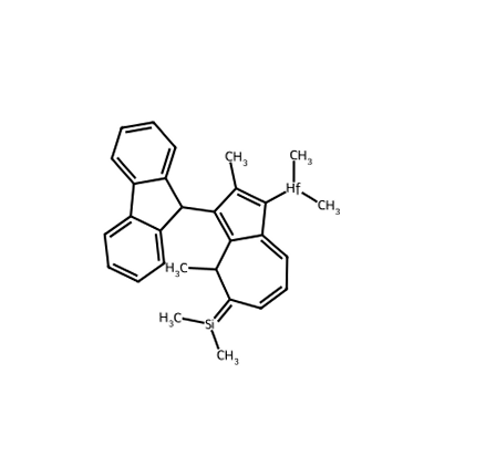 CC1=[C]([Hf]([CH3])[CH3])C2=CC=CC(=[Si](C)C)C(C)C2=C1C1c2ccccc2-c2ccccc21